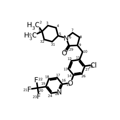 CC1(C)CCC(N2CCC(Cc3ccc(Oc4ccc(C(F)(F)F)cn4)cc3Cl)C2=O)CC1